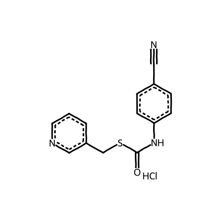 Cl.N#Cc1ccc(NC(=O)SCc2cccnc2)cc1